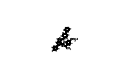 C[C@H](NC(=O)c1cc(-c2ccc(F)cc2)cc2cnn(Cc3ccc(-c4ccccc4)cc3)c12)c1ccc(C(=O)O)cc1